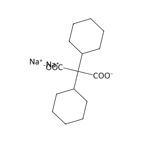 O=C([O-])C(C(=O)[O-])(C1CCCCC1)C1CCCCC1.[Na+].[Na+]